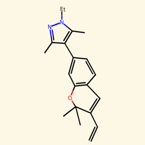 C=CC1=Cc2ccc(-c3c(C)nn(CC)c3C)cc2OC1(C)C